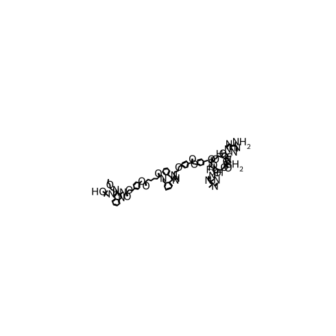 B[P@]1(=O)OC[C@H]2O[C@@H](n3cnc4c(C)ncnc43)[C@H](F)[C@@H]2O[P@@](=O)(SCc2ccc(OC(=O)c3ccc(OCCn4nnc5c4-c4ccccc4N(C(=O)CCCCC(=O)Oc4ccc(COC(=O)Nc6nc7ccccc7c7c6nc(COCC)n7CC(C)(C)O)cc4)Cc4ccccc4-5)cc3)cc2)OC[C@H]2O[C@@H](n3cnc4c(N)ncnc43)[C@H](F)[C@@H]2O1